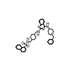 O=S(=O)(NCC1CCC(CNc2nc(NC3CCN(Cc4ccccc4)CC3)c3ccccc3n2)CC1)c1cccc2ccccc12